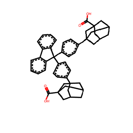 O=C(O)C12CC3CC(C1)CC(c1ccc(C4(c5ccc(C67CC8CC(CC(C(=O)O)(C8)C6)C7)cc5)c5ccccc5-c5ccccc54)cc1)(C3)C2